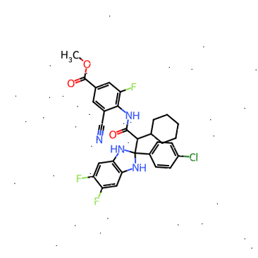 COC(=O)c1cc(F)c(NC(=O)C(C2CCCCC2)C2(c3ccc(Cl)cc3)Nc3cc(F)c(F)cc3N2)c(C#N)c1